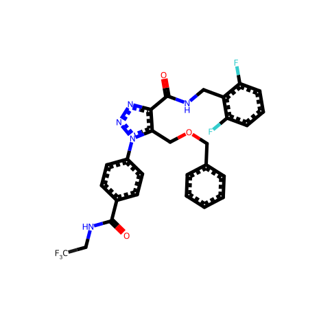 O=C(NCC(F)(F)F)c1ccc(-n2nnc(C(=O)NCc3c(F)cccc3F)c2COCc2ccccc2)cc1